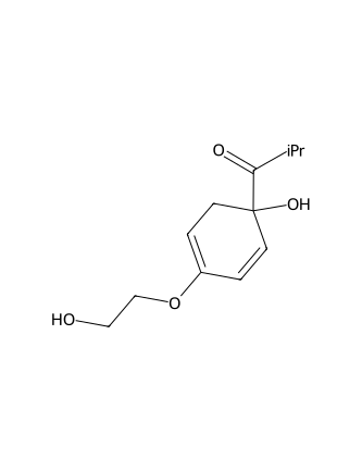 CC(C)C(=O)C1(O)C=CC(OCCO)=CC1